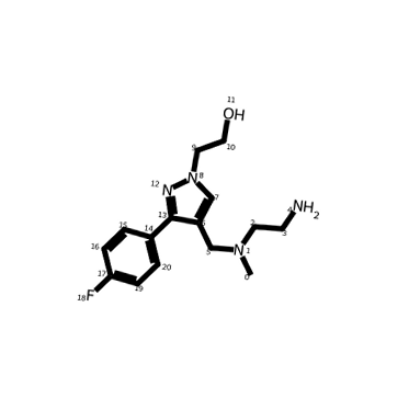 CN(CCN)Cc1cn(CCO)nc1-c1ccc(F)cc1